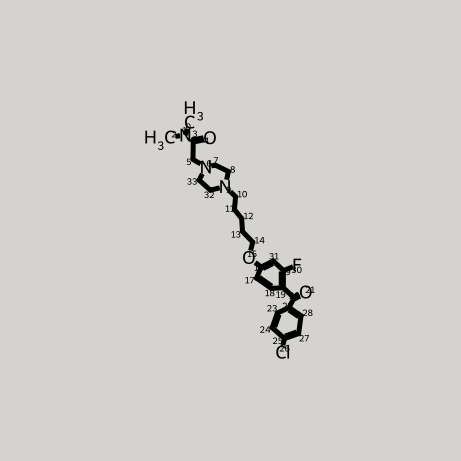 CN(C)C(=O)CN1CCN(CCCCCOc2ccc(C(=O)c3ccc(Cl)cc3)c(F)c2)CC1